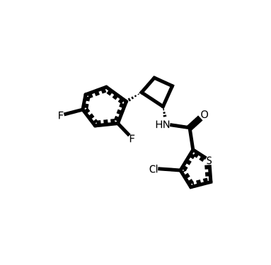 O=C(N[C@H]1CC[C@H]1c1ccc(F)cc1F)c1sccc1Cl